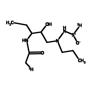 [3H]CC(=O)NC(CC)C(O)CN(CCC)N[S+]([3H])[O-]